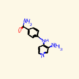 NC(=O)c1ccc(Nc2ccncc2N)cc1